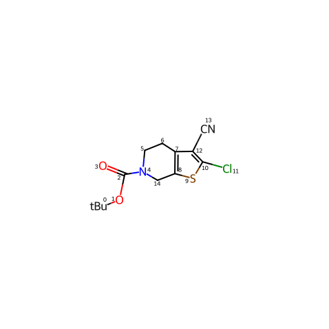 CC(C)(C)OC(=O)N1CCc2c(sc(Cl)c2C#N)C1